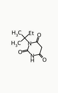 CCC(C)(C)N1C(=O)CC(=O)NC1=O